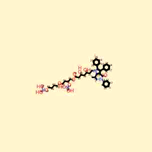 CC(C)c1c(C(=O)Nc2ccccc2)c(-c2ccccc2)c(-c2ccc(F)cc2)n1CCC(O)CC(O)CC(=O)OCC(CCOCCCCON(O)O)ON(O)O